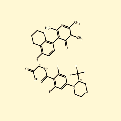 Cc1nc(C)n(C)c(=O)c1-c1ccc(C[C@H](NC(=O)c2c(F)cc(N3CCOC[C@@H]3C(F)(F)F)cc2F)C(=O)O)c2c1OCCC2